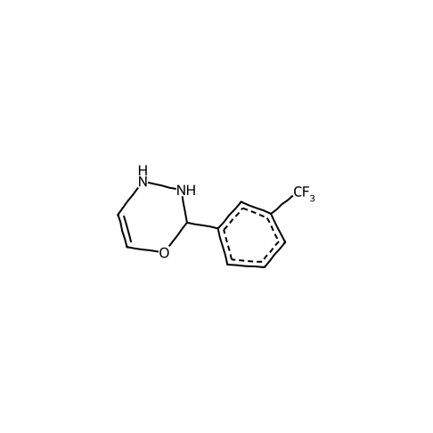 FC(F)(F)c1cccc(C2NNC=CO2)c1